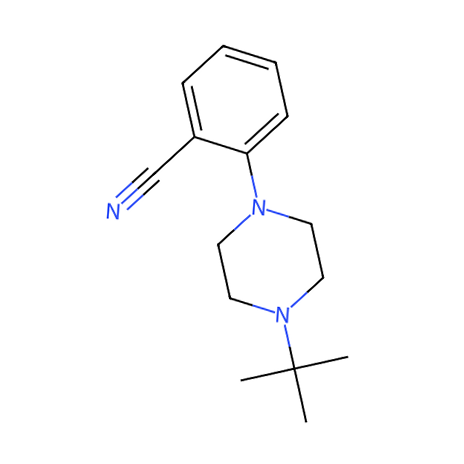 CC(C)(C)N1CCN(c2ccccc2C#N)CC1